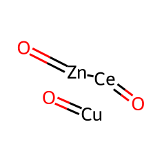 [O]=[Cu].[O]=[Zn][Ce]=[O]